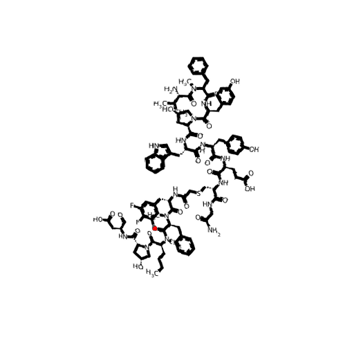 CCCC[C@@H](C(=O)N1C[C@H](O)C[C@@H]1C(=O)N[C@H](C=O)CC(=O)O)N(C)C(=O)[C@H](Cc1ccccc1)N(C)C(=O)[C@H](Cc1cc(F)c(F)c(F)c1)NC(=O)CSC[C@H](NC(=O)[C@H](CCC(=O)O)NC(=O)[C@H](Cc1ccc(O)cc1)NC(=O)[C@H](Cc1c[nH]c2ccccc12)NC(=O)[C@H]1C[C@@H](O)CN1C(=O)[C@H](Cc1ccc(O)cc1)NC(=O)C(Cc1ccccc1)N(C)C(=O)[C@@H](N)C(C)C)C(=O)NCC(N)=O